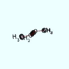 C=C(C)C(=O)OCCCCCCCCCCCCCCCCCCCOc1ccc(C(=O)Oc2c(F)c(F)c(OC(=O)c3ccc(OCCCCCCCCCCCCCCCCCCCOC(=O)C(=C)C)cc3)c(F)c2F)cc1